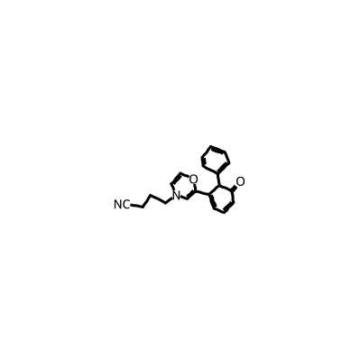 N#CCCCN1C=COC(C2=CC=CC(=O)C2c2ccccc2)=C1